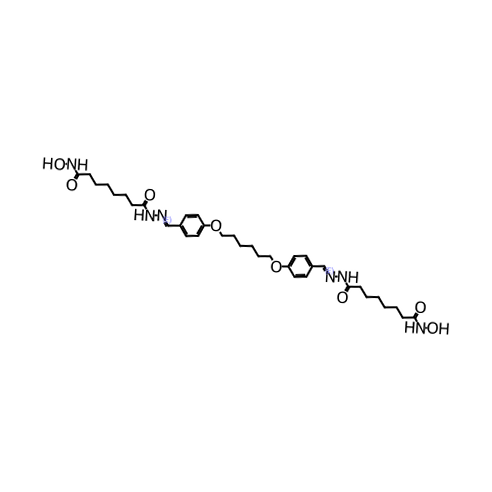 O=C(CCCCCCC(=O)N/N=C/c1ccc(OCCCCCCOc2ccc(/C=N/NC(=O)CCCCCCC(=O)NO)cc2)cc1)NO